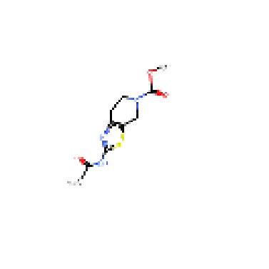 CNC(=O)Nc1nc2c(s1)CN(C(=O)OC(C)(C)C)CC2